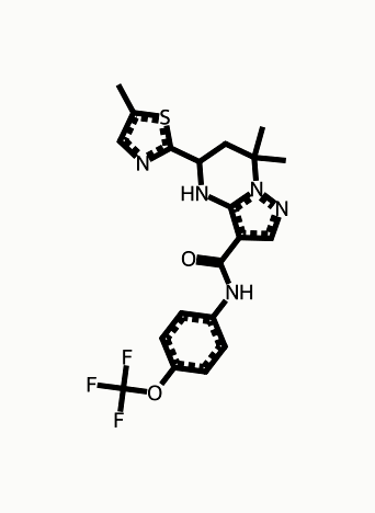 Cc1cnc(C2CC(C)(C)n3ncc(C(=O)Nc4ccc(OC(F)(F)F)cc4)c3N2)s1